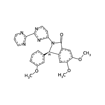 COc1cccc([C@@H]2c3cc(OC)c(OC)cc3C(=O)N2c2ccnc(-c3ncccn3)n2)c1